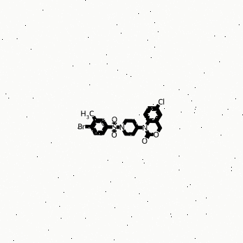 Cc1cc(S(=O)(=O)N2CCC(N3C(=O)OCc4cc(Cl)ccc43)CC2)ccc1Br